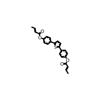 CC=CC(=O)Oc1ccc(-c2ccc(-c3ccc(OC(=O)C=CC)cc3)s2)cc1